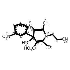 CCC1=C(C(=O)O)C(C)(c2cccc([N+](=O)[O-])c2)C(C(=O)O)=C(C)N1CCC#N